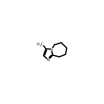 Cc1cnc2n1CCCCC2